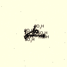 CC1(C)C(/C=C/C=C/C=C2/N(CCCS(=O)(=O)O)c3ccc(S(=O)(=O)O)cc3C2(C)CCCCC(=O)NCCCCCCOP(=O)(O)O)=[N+](CCCS(=O)(=O)O)c2ccc(S(=O)(=O)O)cc21